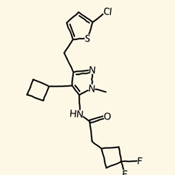 Cn1nc(Cc2ccc(Cl)s2)c(C2CCC2)c1NC(=O)CC1CC(F)(F)C1